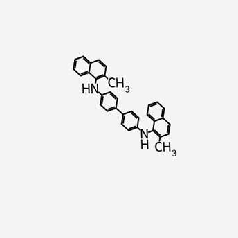 Cc1ccc2ccccc2c1Nc1ccc(-c2ccc(Nc3c(C)ccc4ccccc34)cc2)cc1